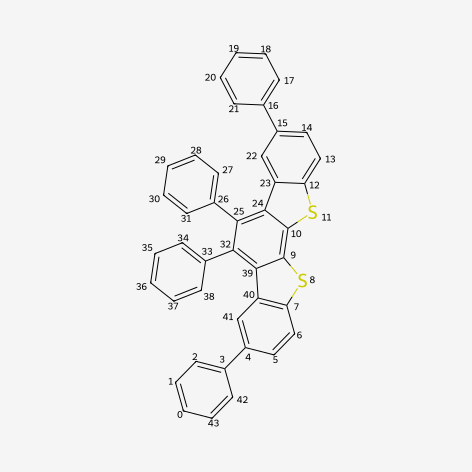 c1ccc(-c2ccc3sc4c5sc6ccc(-c7ccccc7)cc6c5c(-c5ccccc5)c(-c5ccccc5)c4c3c2)cc1